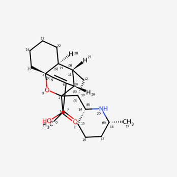 CCC12O[C@@]34C=C(C(=O)O)[C@@H]1[C@@H](C[C@@H]2[C@H]1CCC[C@@H](C)N1)[C@@H]3CCCC4